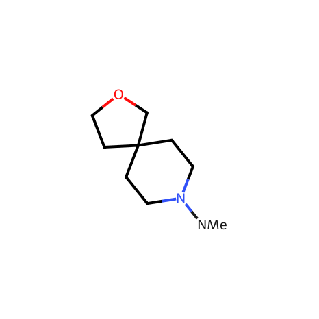 CNN1CCC2(CCOC2)CC1